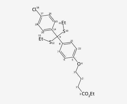 CCOC(=O)CCCOc1ccc(C(SCC)(SCC)c2ccc(Cl)cc2)cc1